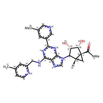 CNC(=O)[C@@]12C[C@@H]1C(n1cnc3c(NCc4cc(C)ccn4)nc(-c4cncc(OC)c4)nc31)[C@H](O)[C@@H]2O